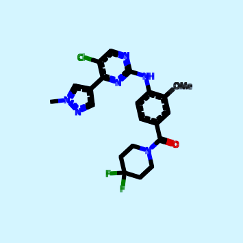 COc1cc(C(=O)N2CCC(F)(F)CC2)ccc1Nc1ncc(Cl)c(-c2cnn(C)c2)n1